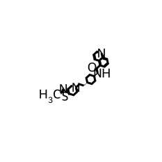 Cc1nc2c(s1)CCN(CC[C@H]1CC[C@H](NC(=O)c3cccc4ncccc34)CC1)C2